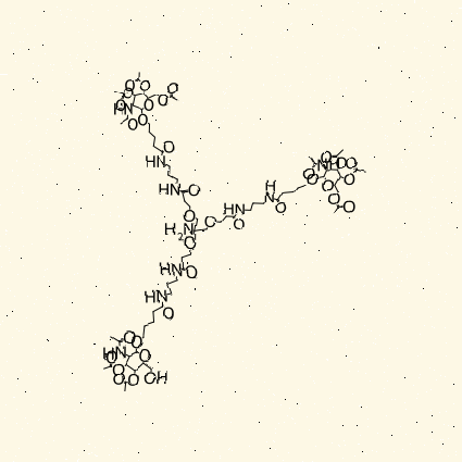 CC(=O)NC1C(OCCCCC(=O)NCCCNC(=O)CCOCC(N)(COCCC(=O)NCCCNC(=O)CCCCOC2OC(COC(C)=O)C(OC(C)=O)C(OC(C)=O)C2NC(C)=O)COCCC(=O)NCCCNC(=O)CCCCOC2OC(COC(C)=O)C(OC(C)=O)C(OC(C)=O)C2NC(C)=O)OC(CO)C(OC(C)=O)C1OC(C)=O